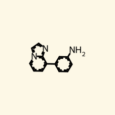 Nc1cccc(-c2cccn3ccnc23)c1